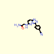 N#Cc1ccc(-c2nnc3ccc(NCC(N)=O)nn23)cc1